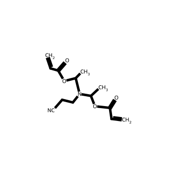 C=CC(=O)OC(C)N(CCC#N)C(C)OC(=O)C=C